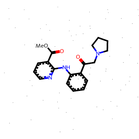 COC(=O)c1cccnc1Nc1ccccc1C(=O)CN1CCCC1